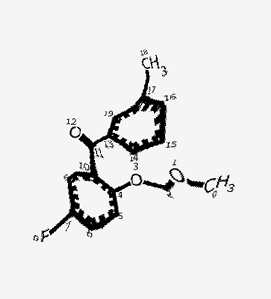 COCOc1ccc(F)cc1C(=O)c1cccc(C)c1